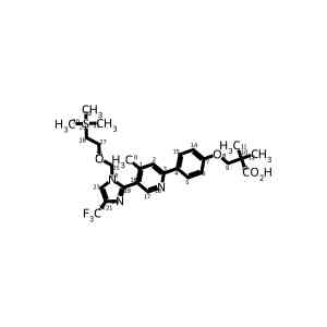 Cc1cc(-c2ccc(OCC(C)(C)C(=O)O)cc2)ncc1-c1nc(C(F)(F)F)cn1COCCS(C)(C)C